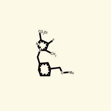 CCCCOCc1cccc(Cn2nc(C(=O)OCC)c(F)c2C)c1